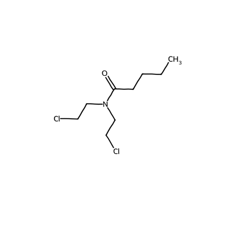 CCCCC(=O)N(CCCl)CCCl